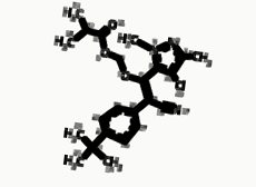 Cc1nn(C)c(/C(OCOC(=O)C(C)C)=C(\C#N)c2ccc(C(C)(C)C)cc2)c1Cl